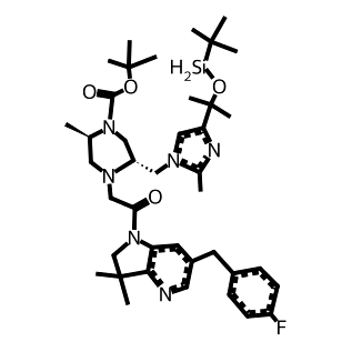 Cc1nc(C(C)(C)O[SiH2]C(C)(C)C)cn1C[C@H]1CN(C(=O)OC(C)(C)C)[C@H](C)CN1CC(=O)N1CC(C)(C)c2ncc(Cc3ccc(F)cc3)cc21